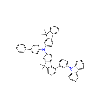 CC1(C)c2ccccc2-c2ccc(N(c3ccc(-c4ccccc4)cc3)c3ccc4c(c3)C(C)(C)c3cccc(-c5cccc(-n6c7ccccc7c7ccccc76)c5)c3-4)cc21